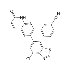 N#Cc1cccc(-c2nc3[nH]c(=O)ccc3nc2-c2cc(Cl)c3ncsc3c2)c1